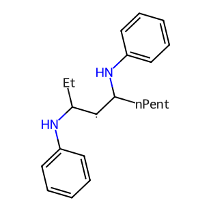 CCCCCC([CH]C(CC)Nc1ccccc1)Nc1ccccc1